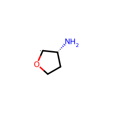 N[C@H]1[CH]OCC1